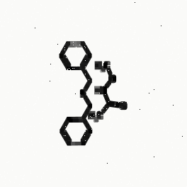 CONC(C)=O.c1ccc(CSCc2ccccc2)cc1